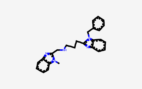 Cn1c(CNCCCc2nc3ccccc3n2Cc2ccccc2)nc2ccccc21